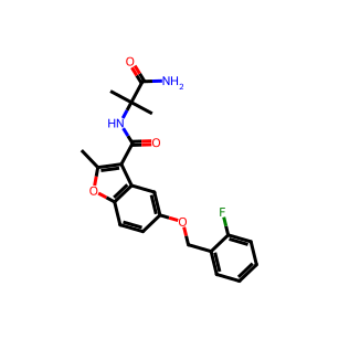 Cc1oc2ccc(OCc3ccccc3F)cc2c1C(=O)NC(C)(C)C(N)=O